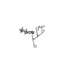 C1CCC(CCCP(CCCC2CCCC2)CCCP(CCCC2CCCC2)CCCC2CCCC2)C1.CC#N.CC#N.F[B-](F)(F)F.F[B-](F)(F)F.[Pd+2]